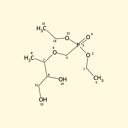 CCOP(=O)(COC(C)C(O)CO)OCC